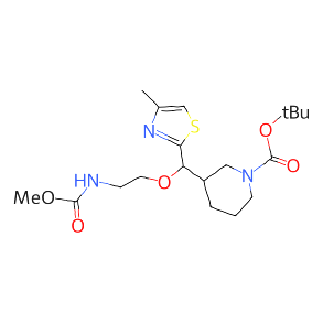 COC(=O)NCCOC(c1nc(C)cs1)C1CCCN(C(=O)OC(C)(C)C)C1